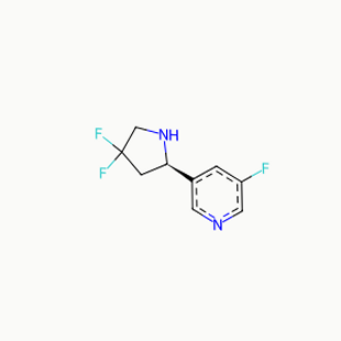 Fc1cncc([C@H]2CC(F)(F)CN2)c1